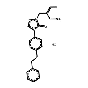 Cl.NC/C(=C\F)Cn1ncn(-c2ccc(OCc3ccccc3)cc2)c1=O